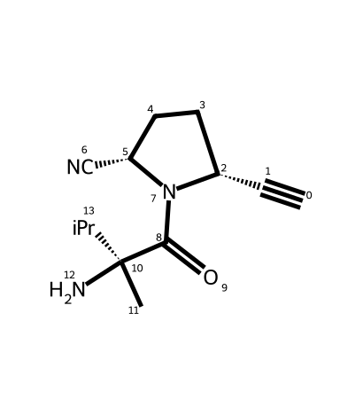 C#C[C@H]1CC[C@@H](C#N)N1C(=O)[C@@](C)(N)C(C)C